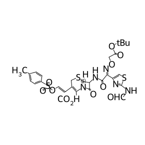 Cc1ccc(S(=O)(=O)OC=CC2=C(C(=O)O)N3C(=O)C(NC(=O)C(=NOCC(=O)OC(C)(C)C)c4csc(NC=O)n4)[C@@H]3SC2)cc1